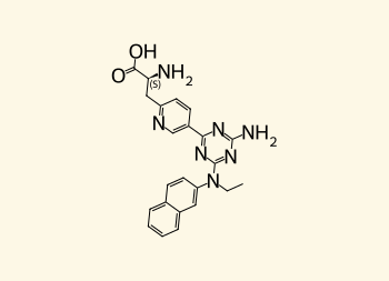 CCN(c1ccc2ccccc2c1)c1nc(N)nc(-c2ccc(C[C@H](N)C(=O)O)nc2)n1